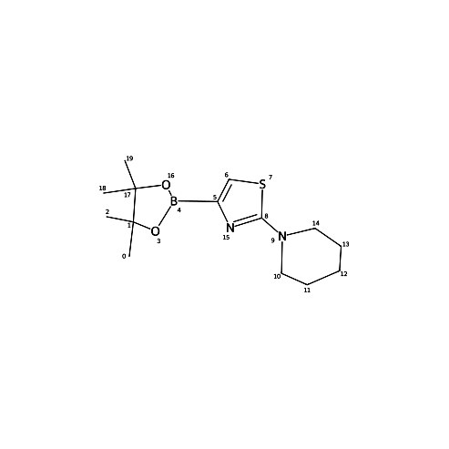 CC1(C)OB(c2csc(N3CCCCC3)n2)OC1(C)C